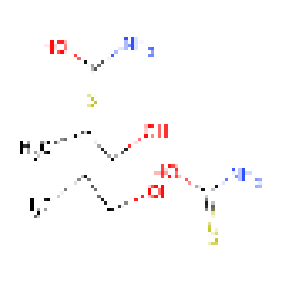 CCCO.CCCO.NC(O)=S.NC(O)=S